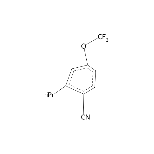 C[C](C)c1cc(OC(F)(F)F)ccc1C#N